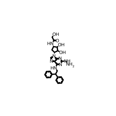 NNc1nc(NCC(c2ccccc2)c2ccccc2)c2ncn([C@@H]3C[C@H](NC(=O)CO)C(O)C3O)c2n1